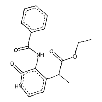 CCOC(=O)C(C)c1cc[nH]c(=O)c1NC(=O)c1ccccc1